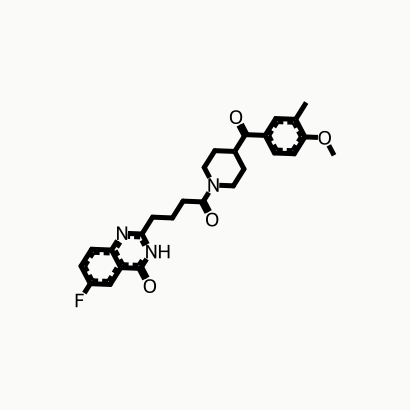 COc1ccc(C(=O)C2CCN(C(=O)CCCc3nc4ccc(F)cc4c(=O)[nH]3)CC2)cc1C